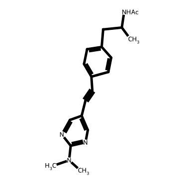 CC(=O)NC(C)Cc1ccc(C#Cc2cnc(N(C)C)nc2)cc1